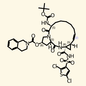 CC(C)(C)OC(=O)N[C@H]1CCCCC/C=C\[C@@H]2C[C@@]2(C(=O)NS(=O)(=O)c2cc(Cl)sc2Cl)NC(=O)[C@@H]2C[C@@H](OC(=O)N3CCc4ccccc4C3)CN2C1=O